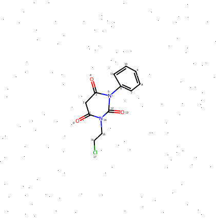 O=C1CC(=O)N(c2ccccc2)C(=O)N1CCCl